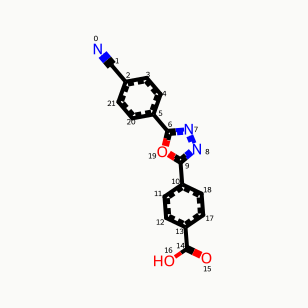 N#Cc1ccc(-c2nnc(-c3ccc(C(=O)O)cc3)o2)cc1